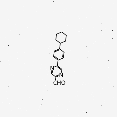 O=Cc1cnc(-c2ccc(C3CCCCC3)cc2)cn1